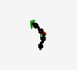 Cc1ccc(/C=C/C2CCC(C(F)(F)OC3CCC(CCc4ccc(C(F)(F)F)c(F)c4)CC3)CC2)cc1